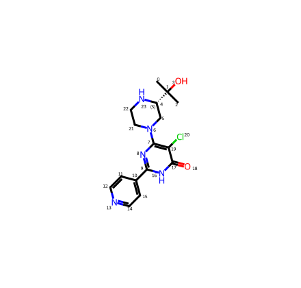 CC(C)(O)[C@@H]1CN(c2nc(-c3ccncc3)[nH]c(=O)c2Cl)CCN1